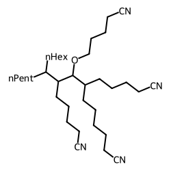 CCCCCCC(CCCCC)C(CCCCC#N)C(OCCCCC#N)C(CCCCC#N)CCCCCC#N